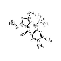 CB(O)Nc1cc(C)c(C)cc1C(=O)N1C=C(C)C[C@H]1CO